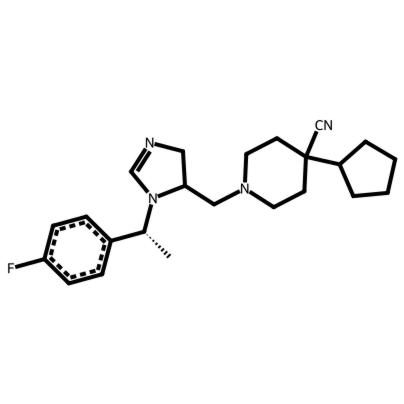 C[C@H](c1ccc(F)cc1)N1C=NCC1CN1CCC(C#N)(C2CCCC2)CC1